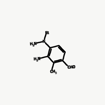 CCN(N)c1ccc(C=O)c(C)c1N